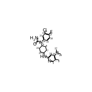 Cc1cnc(NC2CCC(N(C(N)=O)c3ccc(F)c(Cl)c3)CC2)cc1N(C)C